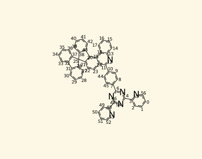 c1ccc(-c2nc(-c3ccc(-c4nc5ccccc5c5c6c(ccc45)C4(c5ccccc5-c5ccccc54)c4ccccc4-6)cc3)nc(-c3ccccn3)n2)nc1